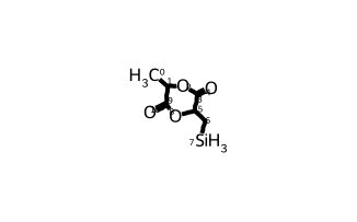 CC1OC(=O)C(C[SiH3])OC1=O